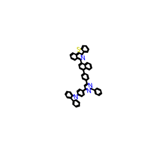 c1ccc(-c2nc(-c3ccc(-c4ccc(-c5nc6c7ccccc7sc6c6ccccc56)c5ccccc45)cc3)cc(-c3ccc(-n4c5ccccc5c5ccccc54)cc3)n2)cc1